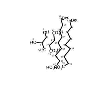 CC(O)CO.CCCCCCCCCCCCCCCCCC(=O)O.CCCCCCCCCCCCCCCCCC(=O)O.O=C(O)CCC(=O)O